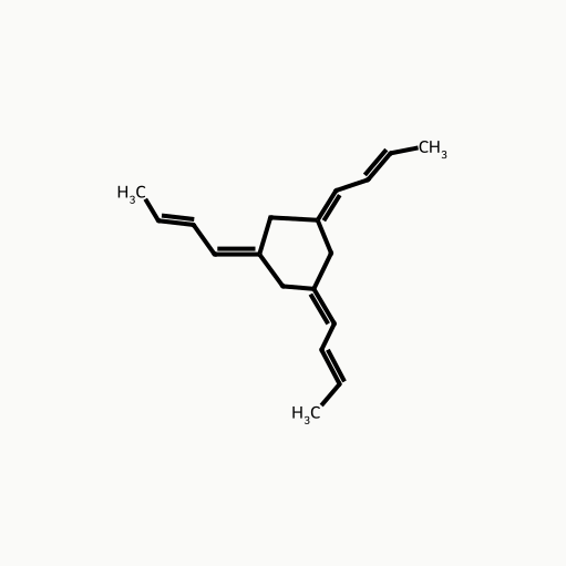 CC=CC=C1CC(=CC=CC)CC(=CC=CC)C1